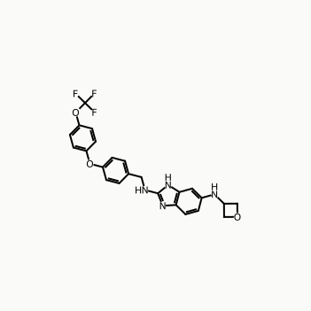 FC(F)(F)Oc1ccc(Oc2ccc(CNc3nc4ccc(NC5COC5)cc4[nH]3)cc2)cc1